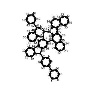 c1ccc(-c2ccc(C3c4ccccc4-c4ccc(-c5c6ccccc6cc6c7c8ccccc8ccc7n(-c7nc(-c8ccccc8)c8ccccc8n7)c56)cc43)cc2)cc1